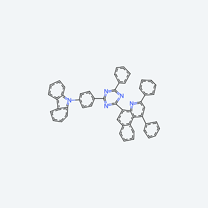 c1ccc(-c2cc(-c3ccccc3)c3c(n2)c(-c2nc(-c4ccccc4)nc(-c4ccc(-n5c6ccccc6c6ccccc65)cc4)n2)cc2ccccc23)cc1